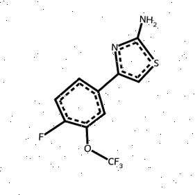 Nc1nc(-c2ccc(F)c(OC(F)(F)F)c2)cs1